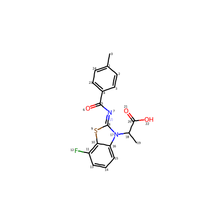 Cc1ccc(C(=O)/N=c2\sc3c(F)cccc3n2C(C)C(=O)O)cc1